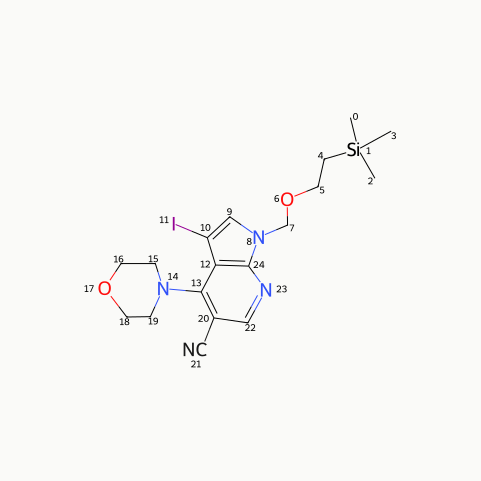 C[Si](C)(C)CCOCn1cc(I)c2c(N3CCOCC3)c(C#N)cnc21